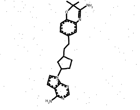 CC1(C)Oc2ccc(CCC3CCC(n4ccc5c(N)ncnc54)C3)cc2N=C1N